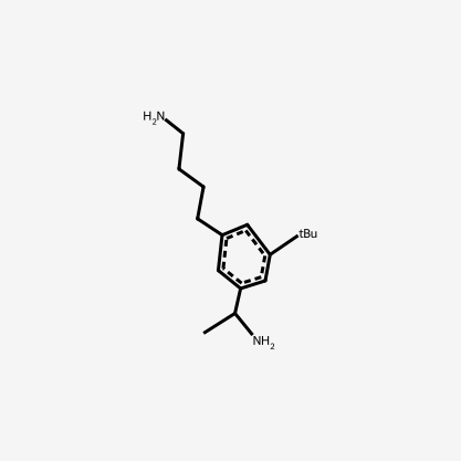 CC(N)c1cc(CCCCN)cc(C(C)(C)C)c1